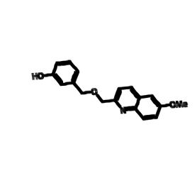 COc1ccc2nc(COCc3cccc(O)c3)ccc2c1